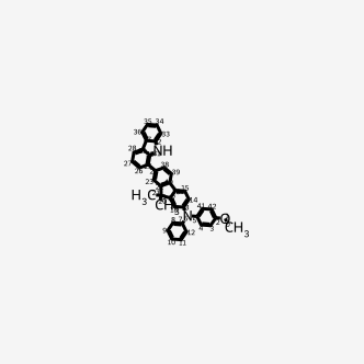 COc1ccc(N(c2ccccc2)c2ccc3c(c2)C(C)(C)c2cc(-c4cccc5c4[nH]c4ccccc45)ccc2-3)cc1